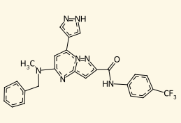 CN(Cc1ccccc1)c1cc(-c2cn[nH]c2)n2nc(C(=O)Nc3ccc(C(F)(F)F)cc3)cc2n1